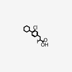 O=C(O)C(I)Cc1ccc(C2CCCCC2)c(Cl)c1